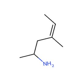 CC=C(C)CC(C)N